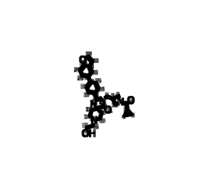 O=C(C1CC1)N1CC(CN2C(=O)C3(CCN(CCO)CC3)N=C2c2ccc(-c3ccc4occc4c3)cc2)C1